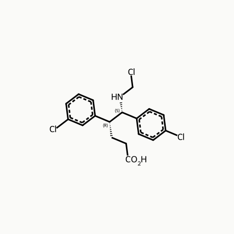 O=C(O)CC[C@H](c1cccc(Cl)c1)[C@H](NCCl)c1ccc(Cl)cc1